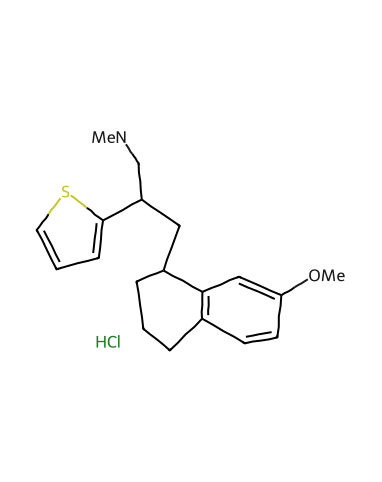 CNCC(CC1CCCc2ccc(OC)cc21)c1cccs1.Cl